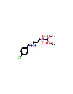 CCOC(OCC)P(=O)(O)CCCNCc1ccc(Cl)cc1